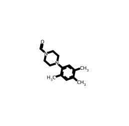 Cc1cc(C)c(N2CCN(C=O)CC2)cc1C